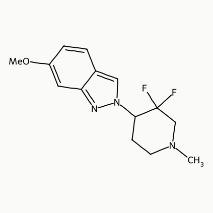 COc1ccc2cn(C3CCN(C)CC3(F)F)nc2c1